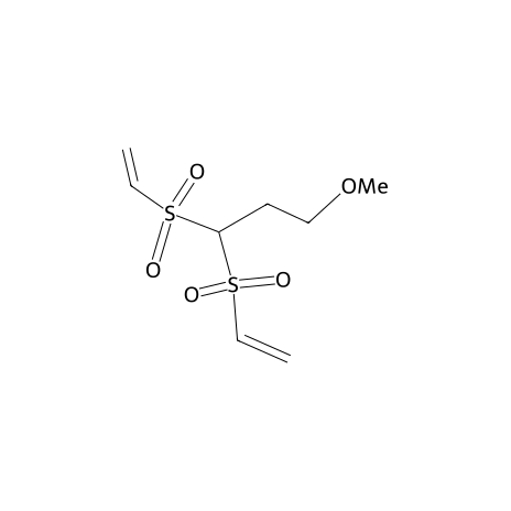 C=CS(=O)(=O)C(CCOC)S(=O)(=O)C=C